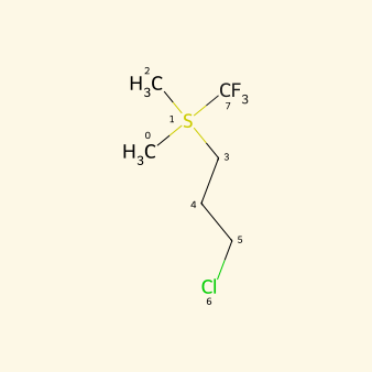 CS(C)(CCCCl)C(F)(F)F